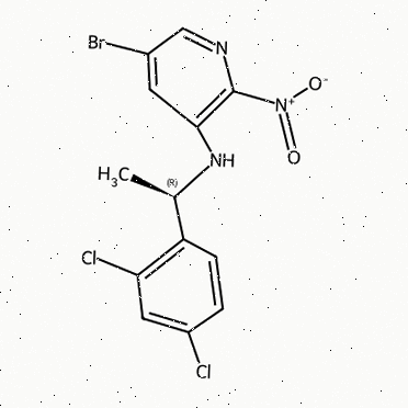 C[C@@H](Nc1cc(Br)cnc1[N+](=O)[O-])c1ccc(Cl)cc1Cl